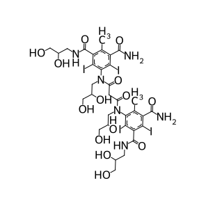 Cc1c(C(N)=O)c(I)c(N(CC(O)CO)C(=O)CC(=O)N(CC(O)CO)c2c(C)c(C(N)=O)c(I)c(C(=O)NCC(O)CO)c2I)c(I)c1C(=O)NCC(O)CO